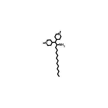 CCCCCCCCCCCCC(N)C(C1CCN(C)CC1)C1CCN(C)CC1